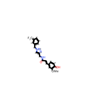 COc1cc(/C=C/C(=O)NCc2cn(Cc3cccc(C(F)(F)F)c3)nn2)ccc1O